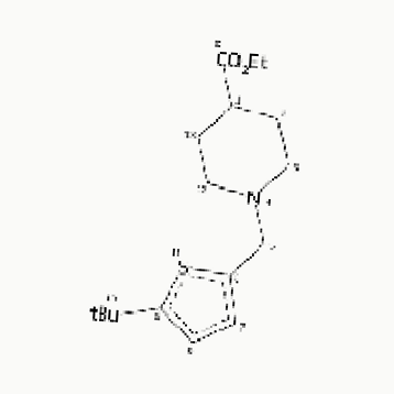 CCOC(=O)C1CCN(Cc2ccc(C(C)(C)C)s2)CC1